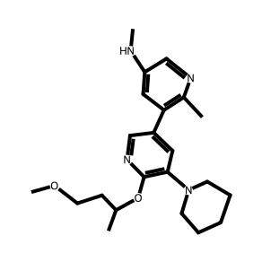 CNc1cnc(C)c(-c2cnc(OC(C)CCOC)c(N3CCCCC3)c2)c1